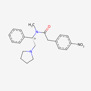 CN(C(=O)Cc1ccc([N+](=O)[O-])cc1)[C@H](CN1CCCC1)c1ccccc1